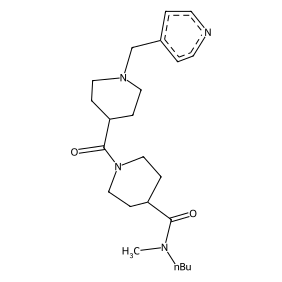 CCCCN(C)C(=O)C1CCN(C(=O)C2CCN(Cc3ccncc3)CC2)CC1